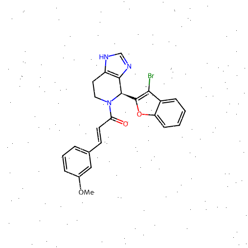 COc1cccc(/C=C/C(=O)N2CCc3[nH]cnc3[C@H]2c2oc3ccccc3c2Br)c1